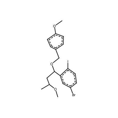 COc1ccc(COC(CC(C)OC)c2cc(Br)ccc2I)cc1